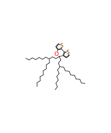 CCCCCCCCCC(CCCCCCC)CCC1(CCC(CCCCCCC)CCCCCCCCC)Oc2ccsc2-c2sccc21